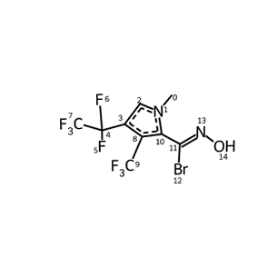 Cn1cc(C(F)(F)C(F)(F)F)c(C(F)(F)F)c1C(Br)=NO